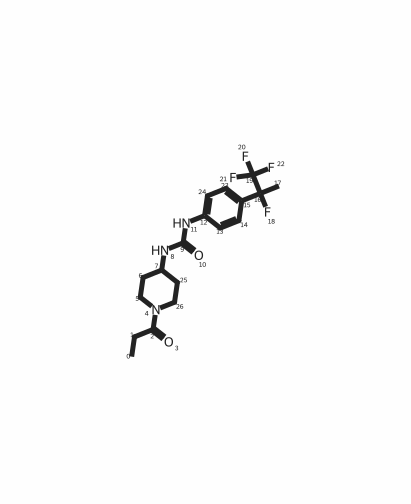 CCC(=O)N1CCC(NC(=O)Nc2ccc(C(C)(F)C(F)(F)F)cc2)CC1